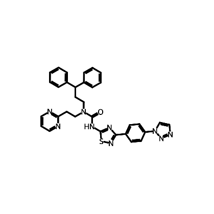 O=C(Nc1nc(-c2ccc(-n3ccnn3)cc2)ns1)N(CCc1ncccn1)CCC(c1ccccc1)c1ccccc1